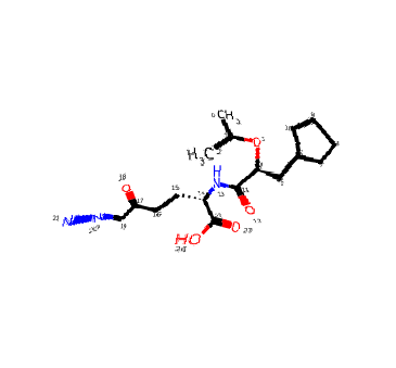 CC(C)O[C@@H](CC1CCCC1)C(=O)N[C@@H](CCC(=O)C=[N+]=[N-])C(=O)O